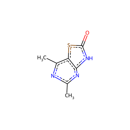 Cc1nc(C)c2sc(=O)[nH]c2n1